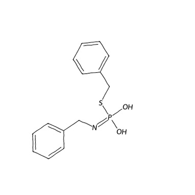 OP(O)(=NCc1ccccc1)SCc1ccccc1